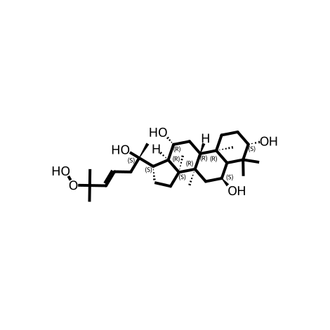 CC(C)(C=CC[C@](C)(O)[C@H]1CC[C@@]2(C)[C@@H]1[C@H](O)C[C@@H]1[C@@]3(C)CC[C@H](O)C(C)(C)C3[C@@H](O)C[C@]12C)OO